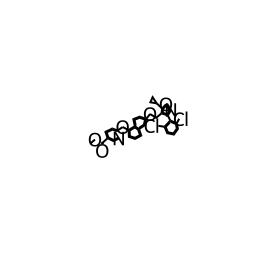 COC(=O)c1ccc(Oc2cccc3cc(OCc4c(-c5c(Cl)cccc5Cl)noc4C4CC4)ccc23)nc1